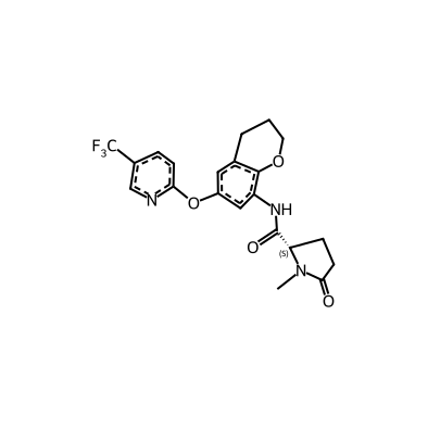 CN1C(=O)CC[C@H]1C(=O)Nc1cc(Oc2ccc(C(F)(F)F)cn2)cc2c1OCCC2